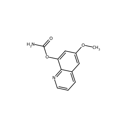 COc1cc(OC(N)=O)c2ncccc2c1